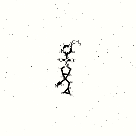 Cn1cnc(S(=O)(=O)N2CC3C(C2)C3(C#N)CC2CC2)c1